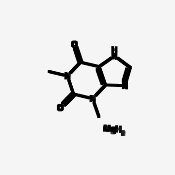 Cn1c(=O)c2[nH]cnc2n(C)c1=O.[MgH2]